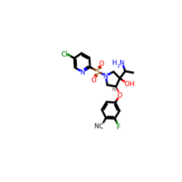 CC(N)C1(O)CN(S(=O)(=O)c2ccc(Cl)cn2)C[C@@H]1Oc1ccc(C#N)c(F)c1